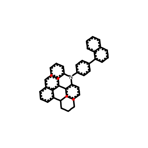 c1ccc(N(c2ccc(-c3cccc4ccccc34)cc2)c2ccccc2-c2cccc3cccc(C4CCCCC4)c23)cc1